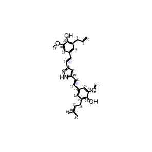 C=CCc1cc(/C=C/c2cc(/C=C/c3cc(CC=C(C)C)c(O)c(OC)c3)[nH]n2)cc(OC)c1O